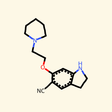 N#Cc1cc2c(cc1OCCN1CCCCC1)NCC2